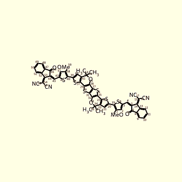 COc1cc(/C=C2\C(=O)c3ccccc3C2=C(C#N)C#N)sc1-c1cc2c(s1)-c1sc3c4c(sc3c1OC2(C)C)-c1sc(-c2sc(/C=C3\C(=O)c5ccccc5C3=C(C#N)C#N)cc2OC)cc1C(C)(C)O4